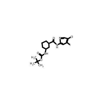 CC(C)(C)OC(=O)NC1CCCC(C(=O)Nc2cc(I)c(Cl)cn2)C1